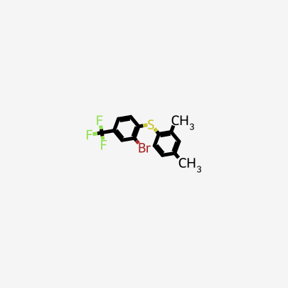 Cc1ccc(Sc2ccc(C(F)(F)F)cc2Br)c(C)c1